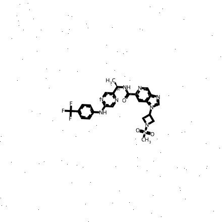 C[C@@H](NC(=O)c1cc2c(cn1)ncn2C1CN(S(C)(=O)=O)C1)c1cnc(Nc2ccc(C(F)(F)F)cc2)cn1